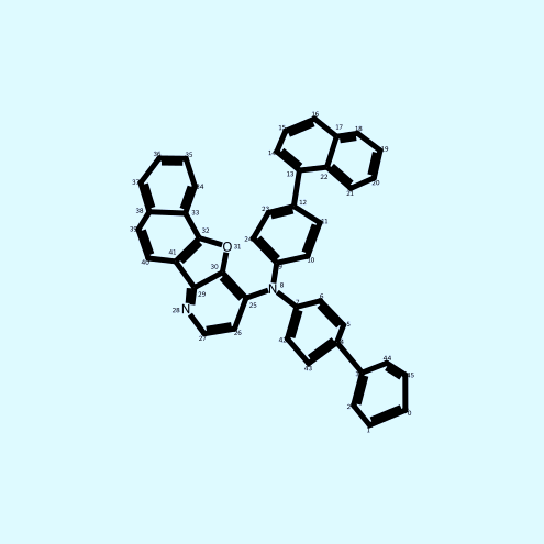 c1ccc(-c2ccc(N(c3ccc(-c4cccc5ccccc45)cc3)c3ccnc4c3oc3c5ccccc5ccc43)cc2)cc1